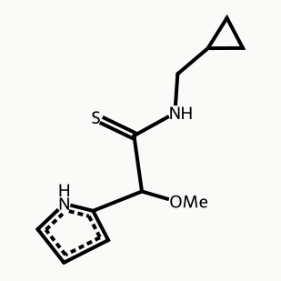 COC(C(=S)NCC1CC1)c1ccc[nH]1